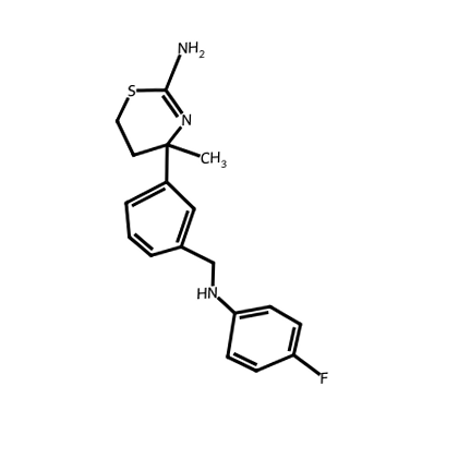 CC1(c2cccc(CNc3ccc(F)cc3)c2)CCSC(N)=N1